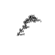 CCCCCSCCNC(=O)CCNC(=O)[C@H](O)C(C)(C)COP(=O)(O)OP(=O)(O)OC[C@H]1O[C@@H](n2cnc3c(N)ncnc32)[C@H](O)[C@@H]1OP(=O)(O)O